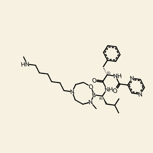 CNCCCCCCN1CCOB([C@H](CC(C)C)NC(=O)[C@H](Cc2ccccc2)NC(=O)c2cnccn2)N(C)CC1